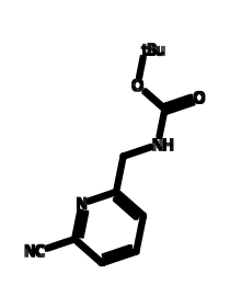 CC(C)(C)OC(=O)NCc1cccc(C#N)n1